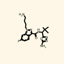 CC(C)(C)C(NC(=O)c1nn(CCCCN)c2cc(F)ccc12)c1nnc(N)o1